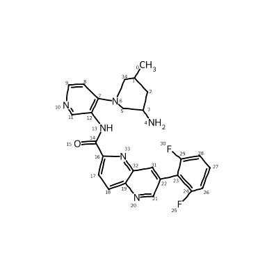 CC1CC(N)CN(c2ccncc2NC(=O)c2ccc3ncc(-c4c(F)cccc4F)cc3n2)C1